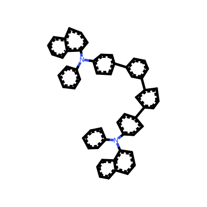 c1ccc(N(c2ccc(-c3cccc(-c4cccc(-c5ccc(N(c6ccccc6)c6cccc7ccccc67)cc5)c4)c3)cc2)c2cccc3ccccc23)cc1